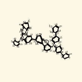 c1ccc(-c2ccc(N(c3ccc(-c4ccccc4)cc3)c3cccc4c3oc3ccc(-c5ccc6c(c5)n5c7ccccc7nc5n6-c5ccccc5)cc34)cc2)cc1